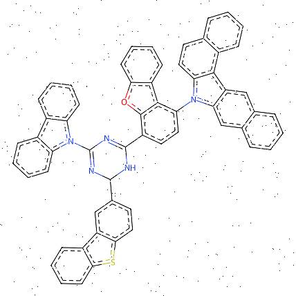 c1ccc2cc3c(cc2c1)c1c2ccccc2ccc1n3-c1ccc(C2=NC(n3c4ccccc4c4ccccc43)=NC(c3ccc4sc5ccccc5c4c3)N2)c2oc3ccccc3c12